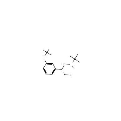 CC[C@H](N[S+]([O-])C(C)(C)C)c1cccc(OC(F)(F)F)c1